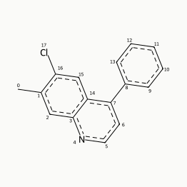 Cc1cc2nccc(-c3ccccc3)c2cc1Cl